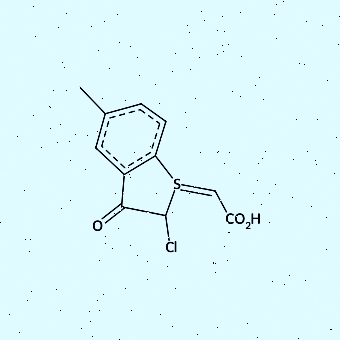 Cc1ccc2c(c1)C(=O)C(Cl)S2=CC(=O)O